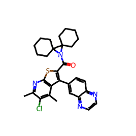 Cc1nc2sc(C(=O)N3C4(CCCCC4)C34CCCCC4)c(-c3ccc4nccnc4c3)c2c(C)c1Cl